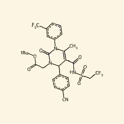 CC1=C(C(=O)NS(=O)(=O)CC(F)(F)F)C(c2ccc(C#N)cc2)N(CC(=O)OC(C)(C)C)C(=O)N1c1cccc(C(F)(F)F)c1